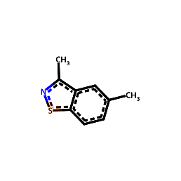 Cc1ccc2snc(C)c2c1